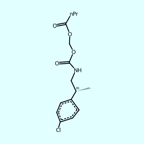 [CH2][C@@H](CNC(=O)OCOC(=O)CCC)c1ccc(Cl)cc1